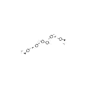 CC(C)NC1CC1c1ccc(COC(=O)Nc2ccc(C(=O)Nc3cc(-c4ccc(N)c(NC(=O)c5ccc(CN(C)C(=O)OCc6ccc(C7CC7NC(C)C)cc6)cc5)c4)ccc3N)cc2)cc1